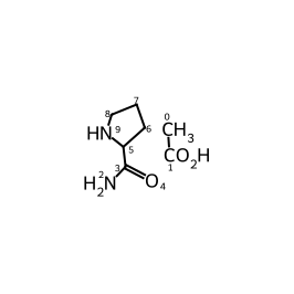 CC(=O)O.NC(=O)C1CCCN1